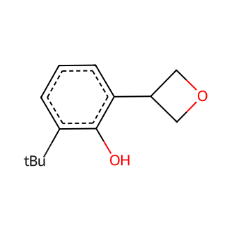 CC(C)(C)c1cccc(C2COC2)c1O